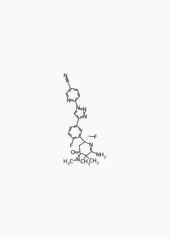 CN=S1(=O)C[C@@](CF)(c2cc(-c3cn(-c4ccc(C#N)cn4)nn3)ccc2F)N=C(N)C1(C)C